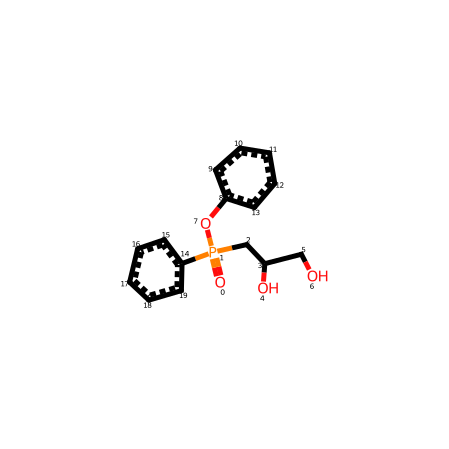 O=P(CC(O)CO)(Oc1ccccc1)c1ccccc1